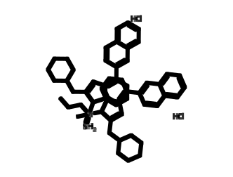 CC[CH2][Zr]([CH3])(=[SiH2])([CH]1C(CC2CCCCC2)=Cc2c(-c3ccc4ccccc4c3)cccc21)[CH]1C(CC2CCCCC2)=Cc2c(-c3ccc4ccccc4c3)cccc21.Cl.Cl